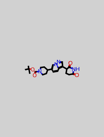 CC(C)(C)OC(=O)N1CCC(c2ccc3c(C4CCC(=O)NC4=O)cnn3c2)CC1